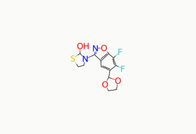 OC1SCCN1c1noc2c(F)c(F)c(C3OCCO3)cc12